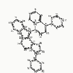 C1=CCN2C(=C1)C(c1ccncc1)=CN=C2n1c2ccccc2c2ccc3c(ccn3-c3ccccc3)c21